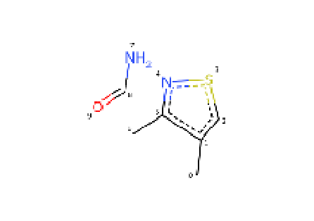 Cc1csnc1C.NC=O